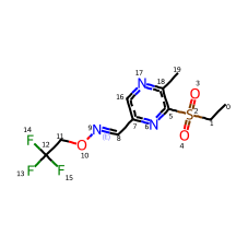 CCS(=O)(=O)c1nc(/C=N/OCC(F)(F)F)cnc1C